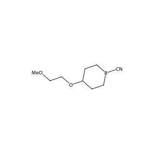 COCCOC1CCB(C#N)CC1